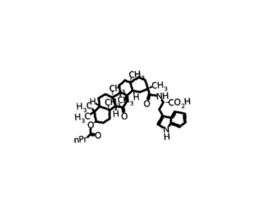 CCCC(=O)O[C@H]1CC[C@]2(C)[C@H]3C(=O)C=C4[C@@H]5C[C@@](C)(C(=O)N[C@@H](Cc6c[nH]c7ccccc67)C(=O)O)CC[C@]5(C)CC[C@@]4(C)[C@]3(C)CC[C@H]2C1(C)C